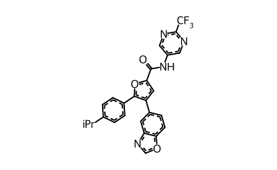 CC(C)c1ccc(-c2oc(C(=O)Nc3cnc(C(F)(F)F)nc3)cc2-c2ccc3ocnc3c2)cc1